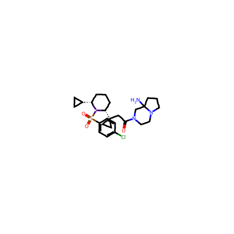 NC12CCCN1CCN(C(=O)CC1([C@H]3CCC[C@@H](C4CC4)I3S(=O)(=O)c3ccc(Cl)cc3)CC1)C2